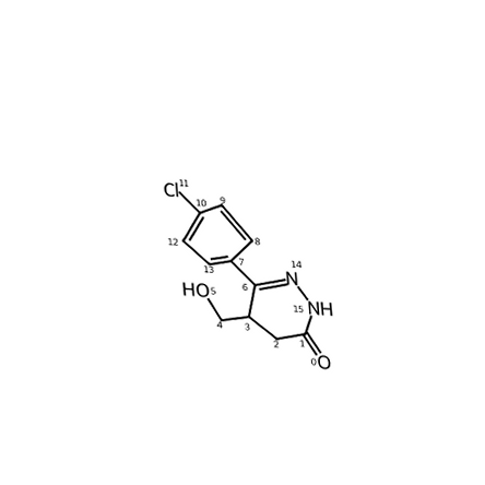 O=C1CC(CO)C(c2ccc(Cl)cc2)=NN1